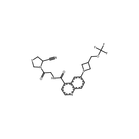 N#CC1CSCN1C(=O)CNC(=O)c1ccnc2ccc(N3CC(COC(F)(F)F)C3)cc12